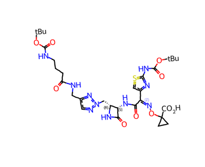 CC(C)(C)OC(=O)NCCCC(=O)NCc1cnn(C[C@H]2NC(=O)[C@H]2NC(=O)/C(=N\OC2(C(=O)O)CC2)c2csc(NC(=O)OC(C)(C)C)n2)n1